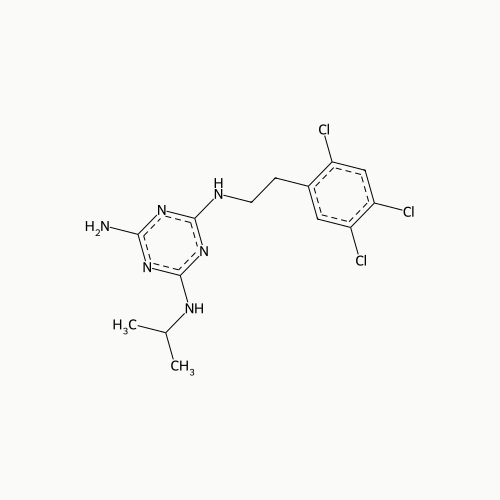 CC(C)Nc1nc(N)nc(NCCc2cc(Cl)c(Cl)cc2Cl)n1